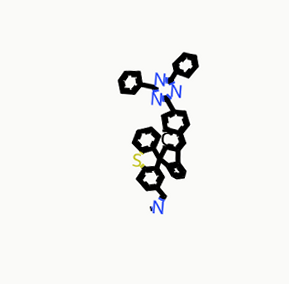 C/N=C\c1ccc2c(c1)C1(c3ccccc3S2)c2ccccc2-c2cc3ccc(-c4nc(-c5ccccc5)nc(-c5ccccc5)n4)cc3cc21